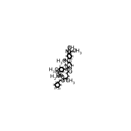 Cc1ccc(N(C(=O)CC[C@H](C)C(=O)OCc2ccccc2)c2nccc(N(C)c3ccc4c(C)n(C)nc4c3)n2)cc1S(N)(=O)=O